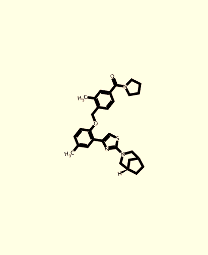 Cc1ccc(OCc2ccc(C(=O)N3CCCC3)cc2C)c(-c2csc(N3CC4CC[C@@H](C4)C3)n2)c1